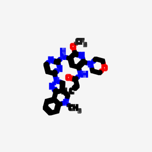 C=CC(=O)Nc1cc(Nc2nccc(-n3cc4c(n3)-c3ccccc3N(C)C4)n2)c(OC(F)(F)F)nc1N1CCOCC1